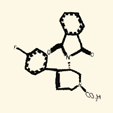 O=C(O)N1CC=C(c2ccc(F)cc2)[C@H](N2C(=O)c3ccccc3C2=O)C1